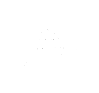 Br.Br.C=CCP.F[P-](F)(F)(F)(F)F.[H+].c1cc[nH]c1.c1cc[nH]c1.c1cc[nH]c1